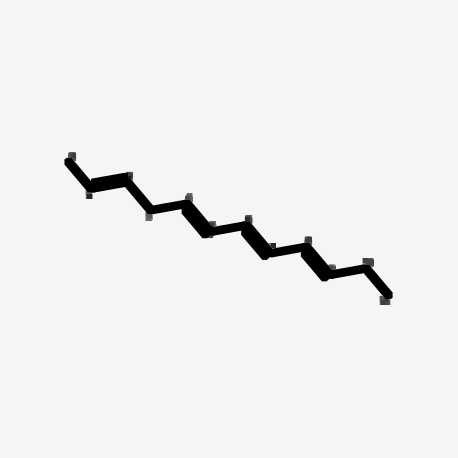 CC=CC/C=[C]/C=CC=CCC